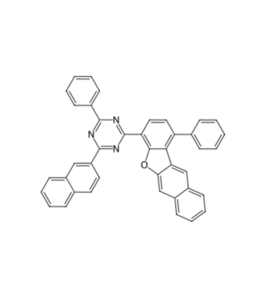 c1ccc(-c2nc(-c3ccc4ccccc4c3)nc(-c3ccc(-c4ccccc4)c4c3oc3cc5ccccc5cc34)n2)cc1